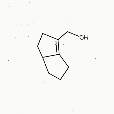 OCC1=C2CCCC2CC1